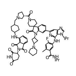 Cc1cc(F)c(Nc2nc(-c3ccc4c(c3)N(C3CC(N5CCCCC5)C3)C(=O)C43CCN(C(=O)[C@@H]4CCN(CC5CCC(Nc6cccc7c6C(=O)N(C6CCC(=O)NC6=O)C7=O)CC5)C4)CC3)cc3ncn(C(C)C)c23)cc1C(=O)NC(C)C